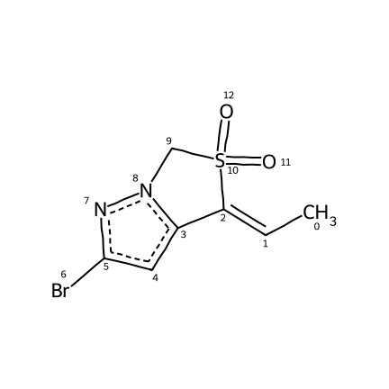 C/C=C1/c2cc(Br)nn2CS1(=O)=O